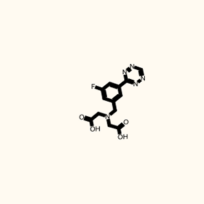 O=C(O)CN(CC(=O)O)Cc1cc(F)cc(-c2nncnn2)c1